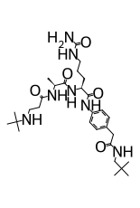 C[C@H](NC(=O)CCNC(C)(C)C)C(=O)N[C@@H](CCCNC(N)=O)C(=O)Nc1ccc(CC(=O)NCC(C)(C)C)cc1